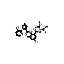 COC(=O)N(NC(=O)c1cc(Cl)cc(C)c1NC(=O)c1cc(I)cn1-c1ncccc1Cl)C(=O)OC